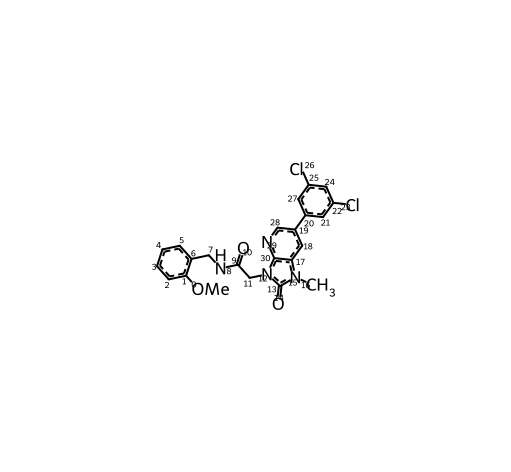 COc1ccccc1CNC(=O)Cn1c(=O)n(C)c2cc(-c3cc(Cl)cc(Cl)c3)cnc21